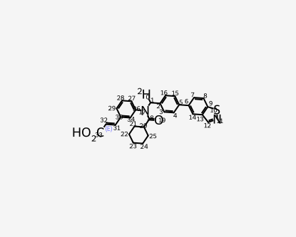 [2H]C(c1ccc(-c2ccc3sncc3c2)cc1)N(C(=O)C1CCCCC1)c1cccc(/C=C/C(=O)O)c1